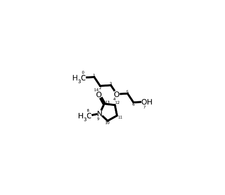 CCCCOCCO.CN1CCCC1=O